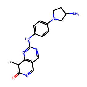 CC(C)C1C(=O)N=Cc2cnc(Nc3ccc(N4CCC(N)C4)cc3)nc21